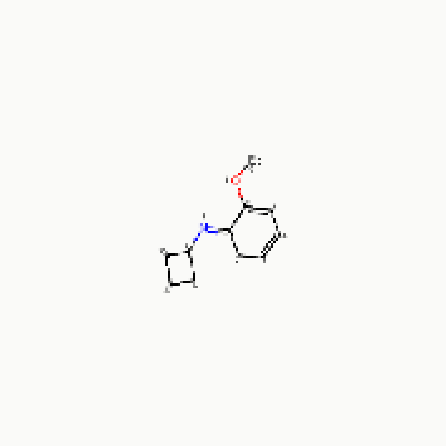 CCOC1=CC=CCC1=NC1CCC1